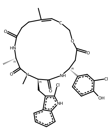 CC1=CCCOC(=O)C[C@H](c2ccc(O)c(Cl)c2)NC(=O)[C@@H](Cc2c(Cl)[nH]c3ccccc23)N(C)C(=O)[C@H](C)NC(=O)CC1